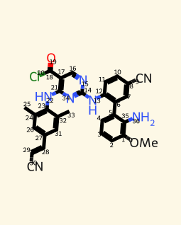 COc1cccc(-c2cc(C#N)ccc2Nc2ncc(C(=O)Cl)c(Nc3c(C)cc(/C=C/C#N)cc3C)n2)c1N